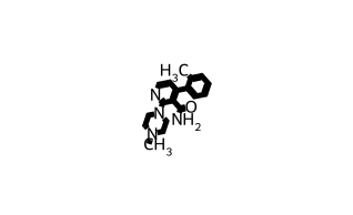 Cc1ccccc1-c1ccnc(N2CCN(C)CC2)c1C(N)=O